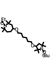 CCON1C(C)(C)CCC(OCCCCCCOC2CC(C)(C)N(OC(C)(C)C)C2(C)C)CC1(C)C